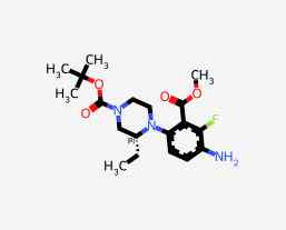 CC[C@@H]1CN(C(=O)OC(C)(C)C)CCN1c1ccc(N)c(F)c1C(=O)OC